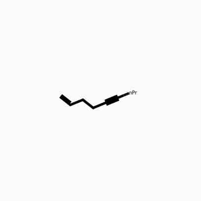 C=CCCC#CCCC